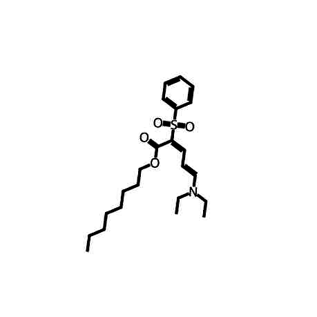 CCCCCCCCOC(=O)C(=CC=CN(CC)CC)S(=O)(=O)c1ccccc1